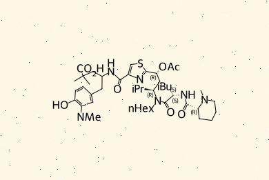 CCCCCCN(C(=O)[C@@H](NC(=O)[C@H]1CCCCN1C)[C@@H](C)CC)[C@H](C[C@@H](OC(C)=O)c1nc(C(=O)NC(Cc2ccc(O)c(NC)c2)CC(C)(C)C(=O)O)cs1)C(C)C